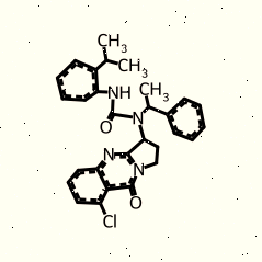 CC(C)c1ccccc1NC(=O)N(C(C)c1ccccc1)C1CCn2c1nc1cccc(Cl)c1c2=O